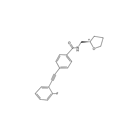 O=C(NC[C@H]1CCCO1)c1ccc(C#Cc2ccccc2F)cc1